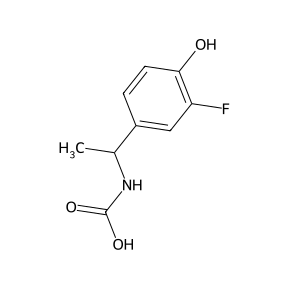 CC(NC(=O)O)c1ccc(O)c(F)c1